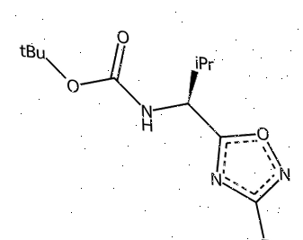 CCc1noc([C@@H](NC(=O)OC(C)(C)C)C(C)C)n1